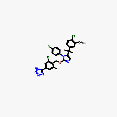 COc1cc(C(C)(C)c2cnc(SCc3c(F)cc(-c4nnn[nH]4)cc3F)n2-c2ccc(F)cc2)ccc1Cl